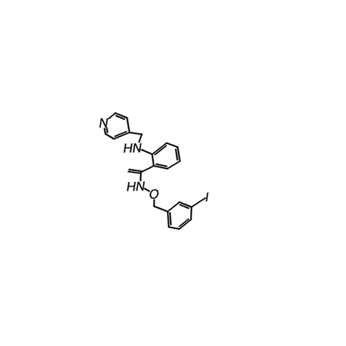 C=C(NOCc1cccc(I)c1)c1ccccc1NCc1ccncc1